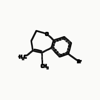 [CH2]C1=C(C)c2cc(Br)ccc2OCC1